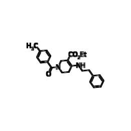 CCOC(=O)C1=C(NCCc2ccccc2)CCN(C(=O)c2ccc(C)cc2)C1